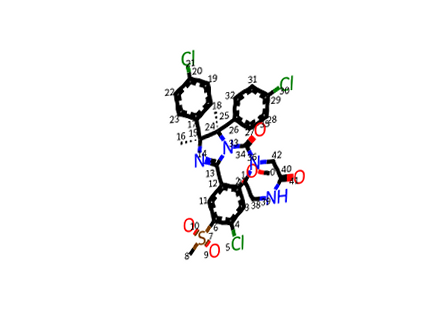 COc1cc(Cl)c(S(C)(=O)=O)cc1C1=N[C@@](C)(c2ccc(Cl)cc2)[C@@](C)(c2ccc(Cl)cc2)N1C(=O)N1CCNC(=O)C1